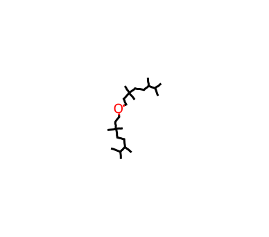 CC(C)C(C)CCC(C)(C)CCOCCC(C)(C)CCC(C)C(C)C